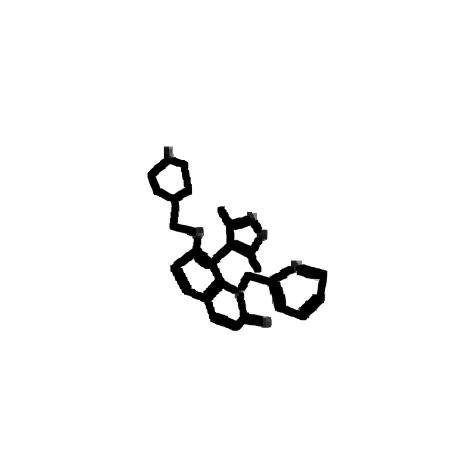 Cc1noc(C)c1-c1c(OCC2CCNCC2)ccc2ccc(=O)n(Cc3ccccn3)c12